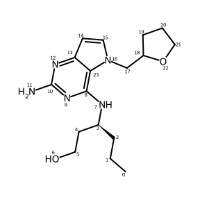 CCC[C@@H](CCO)Nc1nc(N)nc2ccn(CC3CCCO3)c12